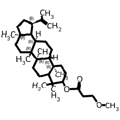 C=C(C)[C@@H]1CC[C@]2(C)CC[C@]3(C)[C@H](CC[C@@H]4[C@@]5(C)CCC(OC(=O)CCOC)C(C)(C)C5CC[C@]43C)C12